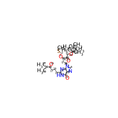 CSCO[C@@H]1C[C@H](n2cnc3c(=O)[nH]c(CCCC(=O)C(C)C)nc32)O[C@@H]1CO[Si](C)(C)C(C)(C)C